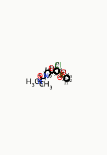 CN(C)C(=O)CN1CCc2oc3c(Cl)cc(S(=O)(=O)c4ccccc4)cc3c2C1